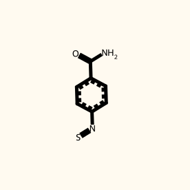 NC(=O)c1ccc(N=S)cc1